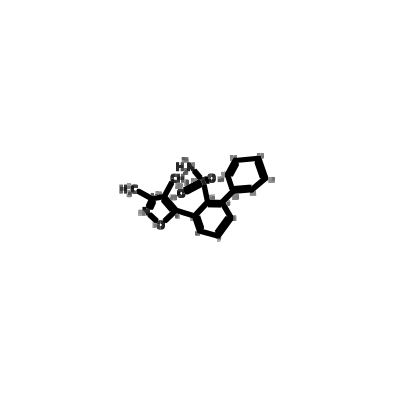 Cc1noc(-c2cccc(-c3ccccc3)c2S(N)(=O)=O)c1C